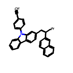 C#Cc1ccc(-n2c3ccccc3c3ccc(CC(c4ccc5ccccc5c4)C(C)C)cc32)cc1